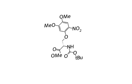 COC(=O)[C@H](COc1cc(OC)c(OC)cc1[N+](=O)[O-])NC(=O)OC(C)(C)C